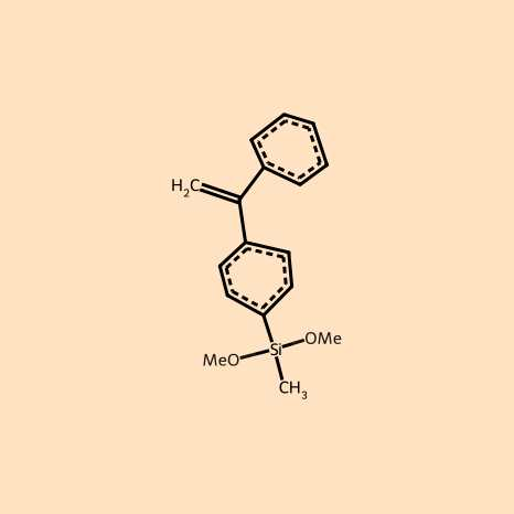 C=C(c1ccccc1)c1ccc([Si](C)(OC)OC)cc1